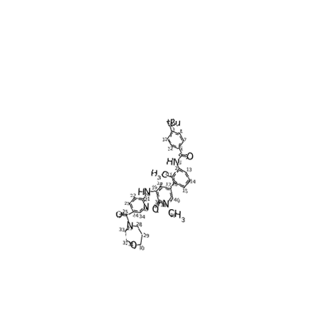 Cc1c(NC(=O)c2ccc(C(C)(C)C)cc2)cccc1-c1cc(Nc2ccc(C(=O)N3CCCOCC3)cn2)c(=O)n(C)c1